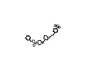 CS(=O)(=O)c1ccc(CCCN2CCCC(CN3CCN(C(=O)OCc4ccccc4)CC3)C2)cc1